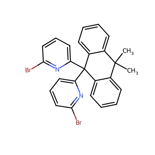 CC1(C)c2ccccc2C(c2cccc(Br)n2)(c2cccc(Br)n2)c2ccccc21